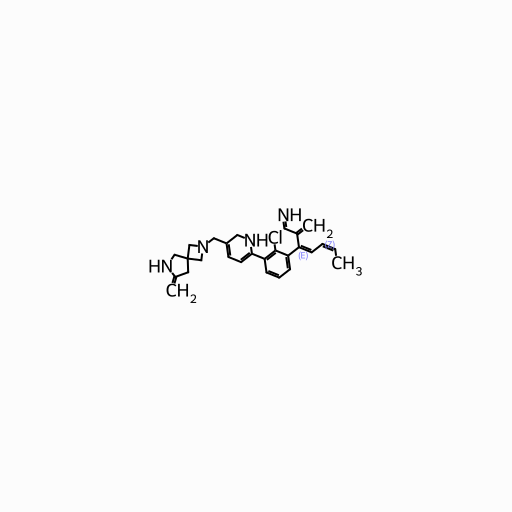 C=C1CC2(CN1)CN(CC1=CC=C(c3cccc(/C(=C/C=C\C)C(=C)C=N)c3Cl)NC1)C2